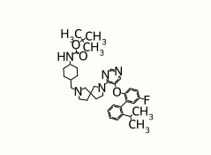 CC(C)c1ccccc1-c1cc(F)ccc1Oc1cncnc1N1CCC2(CCN(CC3CCC(NC(=O)OC(C)(C)C)CC3)C2)C1